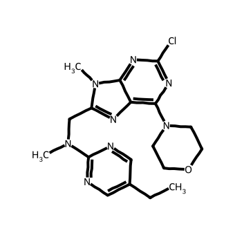 CCc1cnc(N(C)Cc2nc3c(N4CCOCC4)nc(Cl)nc3n2C)nc1